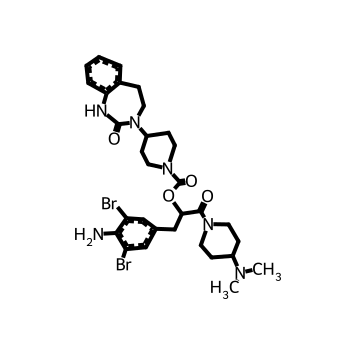 CN(C)C1CCN(C(=O)C(Cc2cc(Br)c(N)c(Br)c2)OC(=O)N2CCC(N3CCc4ccccc4NC3=O)CC2)CC1